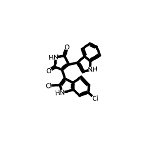 O=C1NC(=O)C(c2c(Cl)[nH]c3cc(Cl)ccc23)=C1c1c[nH]c2ccccc12